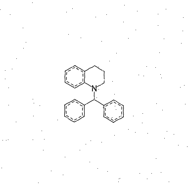 c1ccc(C(c2ccccc2)N2CCCc3ccccc32)cc1